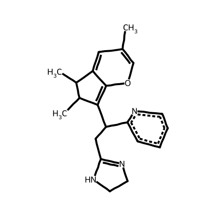 CC1=COC2=C(C(CC3=NCCN3)c3ccccn3)C(C)C(C)C2=C1